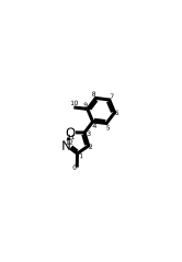 Cc1cc(-c2ccccc2C)on1